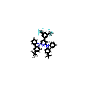 CC(C)(C)c1ccc2c(c1)c1ccccc1n2-c1cc(-c2cc(C(F)(F)F)cc(C(F)(F)F)c2)cc(-n2c3ccccc3c3cc(C(C)(C)C)ccc32)n1